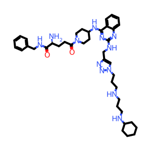 N[C@@H](CCC(=O)N1CCC(Nc2nc(NCc3cn(CCCNCCCNC4CCCCC4)nn3)nc3ccccc23)CC1)C(=O)NCc1ccccc1